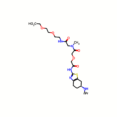 CCCN[C@H]1CCc2nc(NC(=O)COCC(=O)N(C)CC(=O)NCCOCCOCC(=O)O)sc2C1